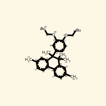 CCC(C)COc1ccc(C2(C)c3cc(C)ccc3-c3ccc(C)cc3C2(C)C)cc1OCC(C)CC